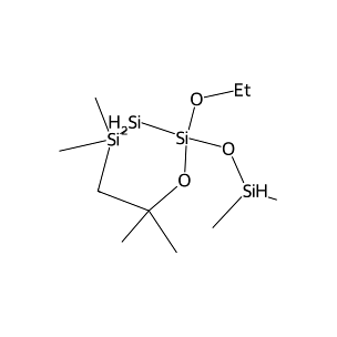 CCO[Si]1(O[SiH](C)C)OC(C)(C)C[Si](C)(C)[SiH2]1